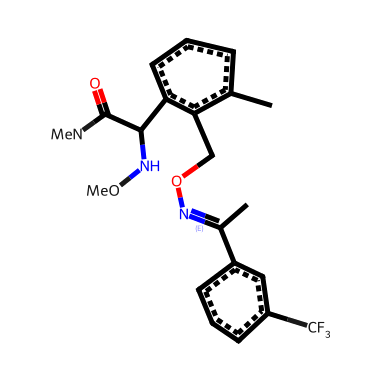 CNC(=O)C(NOC)c1cccc(C)c1CO/N=C(\C)c1cccc(C(F)(F)F)c1